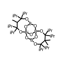 CC(C)C1(C(C)C)OB2O[B-]3(OB4O[B-](O2)(O3)OC(C(C)C)(C(C)C)C(C)(C)C(C(C)C)(C(C)C)O4)OC(C(C)C)(C(C)C)C1C